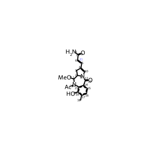 COC1C2CC(/C=C/C(N)=O)=CN2C(=O)c2ccc(C)c(O)c2N1C(C)=O